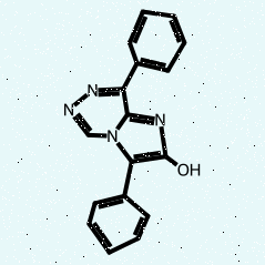 Oc1nc2c(-c3ccccc3)nncn2c1-c1ccccc1